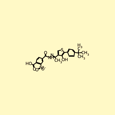 C/C(=N\NC(=O)c1ccc(C(=O)O)c([N+](=O)[O-])c1)c1csc(-c2ccc(C(C)(C)C)cc2)c1O